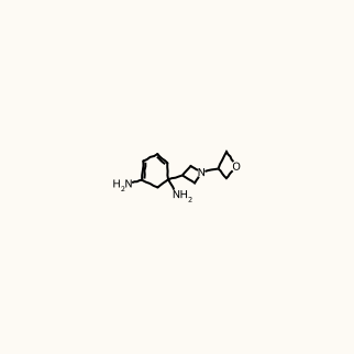 NC1=CC=CC(N)(C2CN(C3COC3)C2)C1